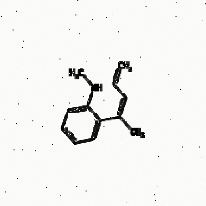 C=C/C=C(/C)c1ccccc1NC